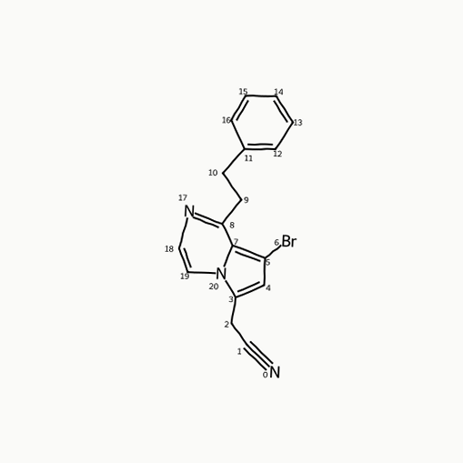 N#CCc1cc(Br)c2c(CCc3ccccc3)nccn12